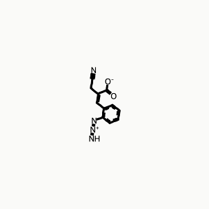 N#CCC(=Cc1ccccc1N=[N+]=N)C(=O)[O-]